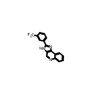 FC(F)(F)c1cccc(-c2nc3c(cnc4ccccc43)[nH]2)c1